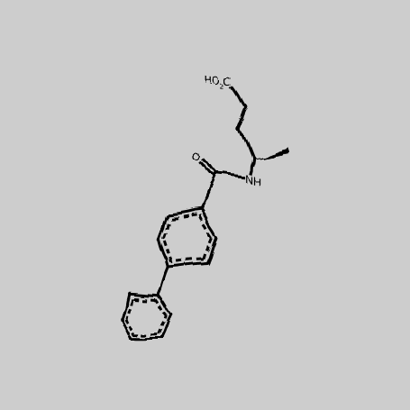 C[C@H](CCC(=O)O)NC(=O)c1ccc(-c2ccccc2)cc1